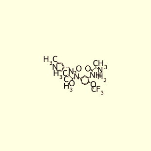 Cc1cc(CN2C(=O)N(c3ccc(OC(F)(F)F)c(NC(=O)C(C)N)c3)C(=O)C2(C)C)ccn1